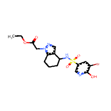 CCOC(=O)Cn1ncc2c1CCCC2NS(=O)(=O)c1cnc(O)c(Br)c1